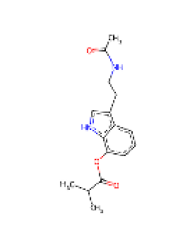 CC(=O)NCCc1c[nH]c2c(OC(=O)C(C)C)cccc12